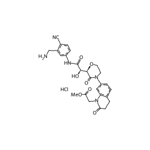 COC(=O)CN1C(=O)CCc2ccc(N3CCO[C@H]([C@@H](O)C(=O)Nc4ccc(C#N)c(CN)c4)C3=O)cc21.Cl